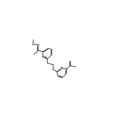 C=C(C)c1cccc(CCCc2cccc(/C(C)=N/OC)n2)n1